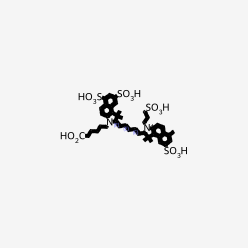 Cc1cc(S(=O)(=O)O)cc2c3c(ccc12)[N+](CCCS(=O)(=O)O)=C(/C=C/C=C/C=C1/N(CCCCCC(=O)O)c2ccc4c(S(=O)(=O)O)cc(S(=O)(=O)O)cc4c2C1(C)C)C3(C)C